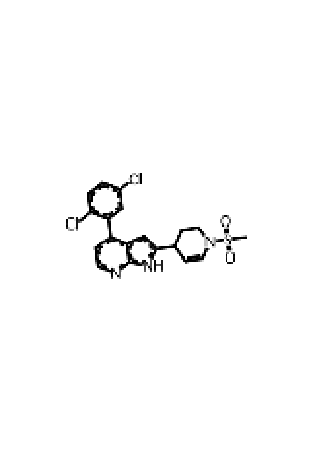 CS(=O)(=O)N1C=CC(c2cc3c(-c4cc(Cl)ccc4Cl)ccnc3[nH]2)CC1